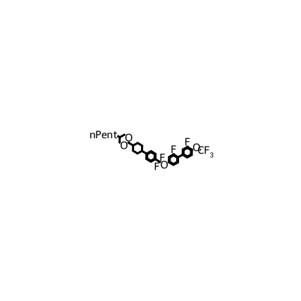 CCCCCC1COC(C2CCC(c3ccc(C(F)(F)Oc4ccc(-c5ccc(OC(F)(F)F)c(F)c5)c(F)c4)cc3)CC2)OC1